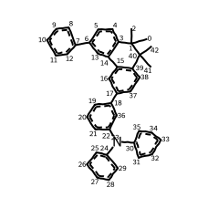 CC1(C)c2ccc(-c3ccccc3)cc2-c2cc(-c3cccc(N(c4ccccc4)c4ccccc4)c3)ccc2C1(C)C